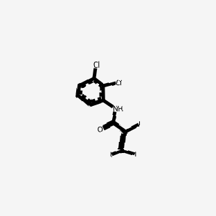 O=C(Nc1cccc(Cl)c1Cl)C(I)=C(I)I